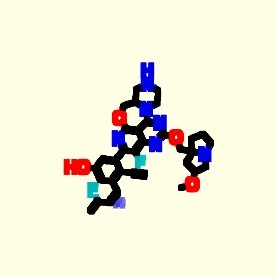 C#Cc1c(/C=C\C(=C)F)cc(O)cc1-c1nc2c3c(nc(OCC45CCCN4CC(OC)C5)nc3c1F)N1CCNCC1CO2